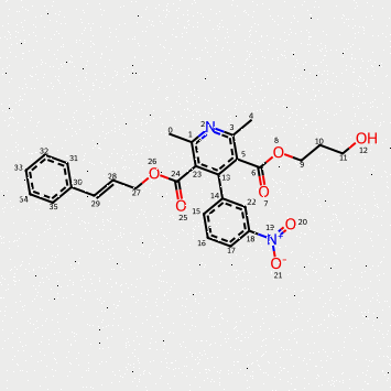 Cc1nc(C)c(C(=O)OCCCO)c(-c2cccc([N+](=O)[O-])c2)c1C(=O)OC/C=C/c1ccccc1